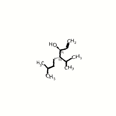 C=C[C@H](O)[C@@H](CCC(C)C)C(C)C